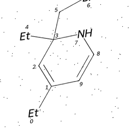 CCC1=CC(CC)(CBr)NC=C1